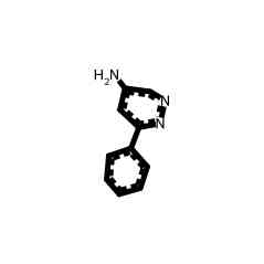 Nc1cnnc(-c2ccccc2)c1